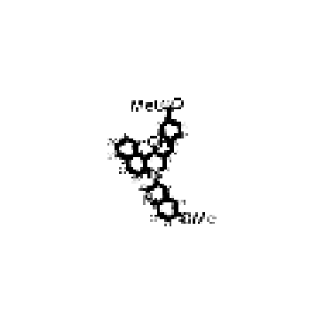 COC(=O)c1ccc(C=C(CNc2cnc3ccc(OC)cc3c2)C(O)c2cccc3ccccc23)cc1